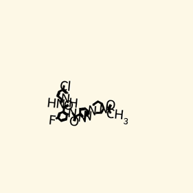 CC(=O)N1CCCN(c2ccc(C(=O)Nc3ccc(F)cc3C(=O)Nc3ccc(Cl)cn3)nn2)CC1